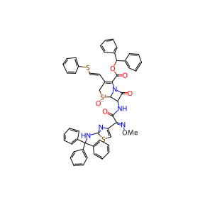 CON=C(C(=O)NC1C(=O)N2C(C(=O)OC(c3ccccc3)c3ccccc3)=C(C=CSc3ccccc3)C[S+]([O-])C12)c1csc(NC(c2ccccc2)(c2ccccc2)c2ccccc2)n1